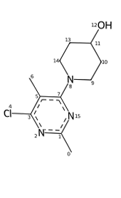 Cc1nc(Cl)c(C)c(N2CCC(O)CC2)n1